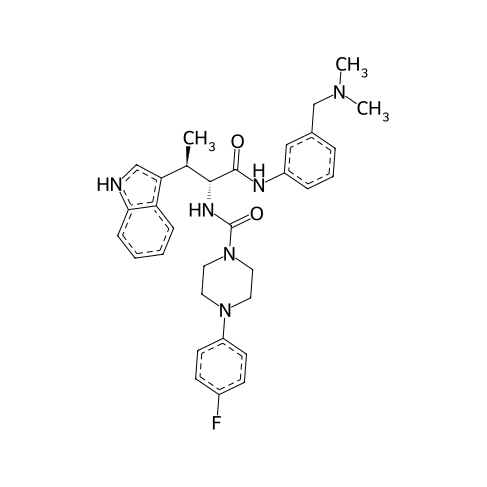 C[C@H](c1c[nH]c2ccccc12)[C@@H](NC(=O)N1CCN(c2ccc(F)cc2)CC1)C(=O)Nc1cccc(CN(C)C)c1